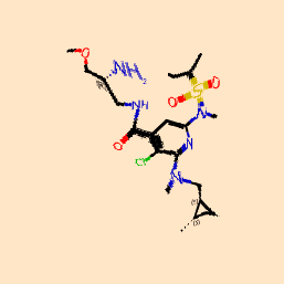 COC[C@H](N)CNC(=O)c1cc(N(C)S(=O)(=O)C(C)C)nc(N(C)C[C@H]2C[C@@H]2C)c1Cl